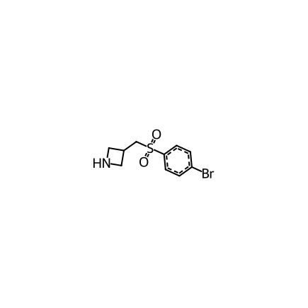 O=S(=O)(CC1CNC1)c1ccc(Br)cc1